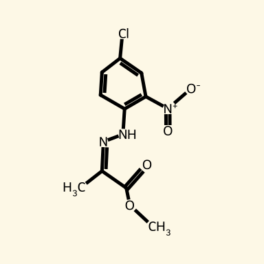 COC(=O)/C(C)=N\Nc1ccc(Cl)cc1[N+](=O)[O-]